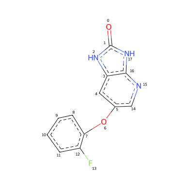 O=c1[nH]c2cc(Oc3ccccc3F)cnc2[nH]1